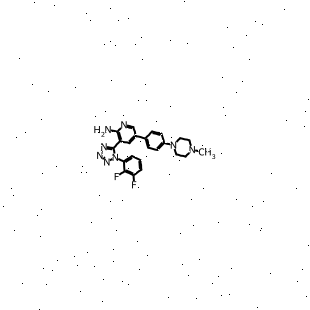 CN1CCN(c2ccc(-c3cnc(N)c(-c4nnnn4-c4cccc(F)c4F)c3)cc2)CC1